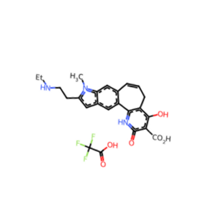 CCNCCc1cc2cc3c(cc2n1C)C=CCc1c-3[nH]c(=O)c(C(=O)O)c1O.O=C(O)C(F)(F)F